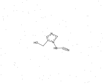 N#CBn1cncc1CO